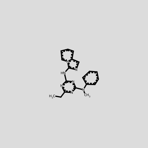 CCc1nc(Nc2ncc3ccccn23)nc(N(C)c2ccccc2)n1